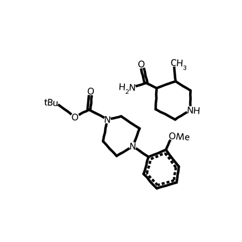 CC1CNCCC1C(N)=O.COc1ccccc1N1CCN(C(=O)OC(C)(C)C)CC1